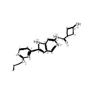 CCOc1nccc(-c2cc3cnc(NC(=O)C4CC(O)C4)cc3[nH]2)n1